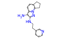 Nc1c(NCCc2cccnc2)nn2c3c(ccc12)CCC3